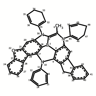 CC1=C2B3c4c(cc5c(c4N(C4=C=C=CC=C4)c4c3c(cc3oc6ccccc6c43)N2C2=CCCC=C2)Cc2ccccc2-5)N1C1=CCCC=C1